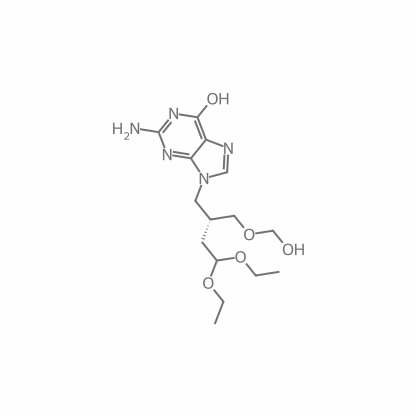 CCOC(C[C@@H](COCO)Cn1cnc2c(O)nc(N)nc21)OCC